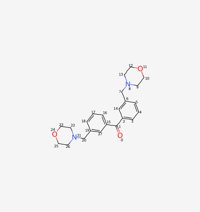 O=C(c1cccc(CN2CCOCC2)c1)c1cccc(CN2CCOCC2)c1